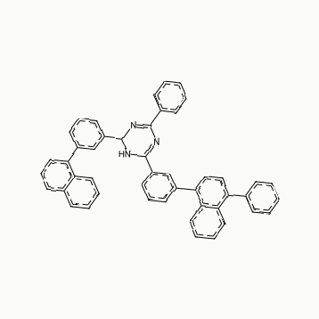 c1ccc(C2=NC(c3cccc(-c4cccc5ccccc45)c3)NC(c3cccc(-c4ccc(-c5ccccc5)c5ccccc45)c3)=N2)cc1